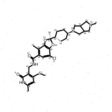 CSc1cc(C)[nH]c(=O)c1CNC(=O)c1cc(Cl)c2c(c1C)O[C@@](C)([C@H]1CC[C@H](N3CC4CN(C)CC4C3)CC1)O2